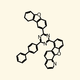 C1=Cc2oc3ccc(-c4nc(-c5ccc(-c6ccccc6)cc5)nc(-c5cccc6oc7c(ccc8cccnc87)c56)n4)cc3c2CC1